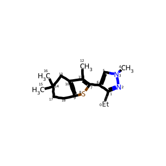 CCc1nn(C)cc1-c1sc2c(c1C)CC(C)(C)CC2